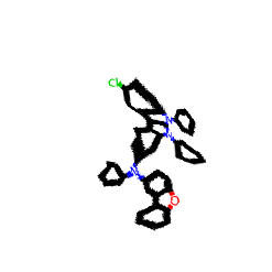 Clc1ccc2c(c1)c1c3ccc(N(c4ccccc4)c4ccc5oc6ccccc6c5c4)cc3n(-c3ccccc3)c1n2-c1ccccc1